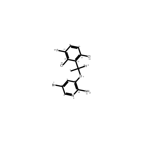 [2H]C(C)(Oc1cc(Br)cnc1N)c1c(Cl)ccc(F)c1Cl